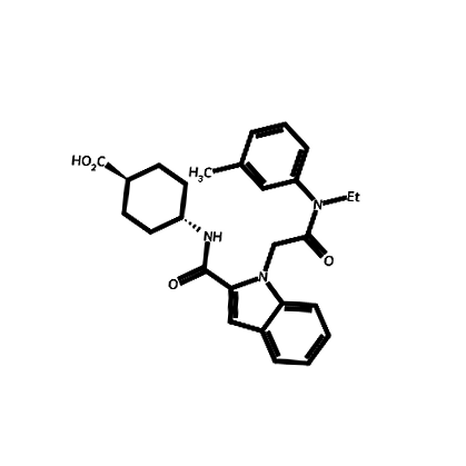 CCN(C(=O)Cn1c(C(=O)N[C@H]2CC[C@H](C(=O)O)CC2)cc2ccccc21)c1cccc(C)c1